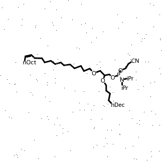 CCCCCCCC/C=C\CCCCCCCCCCCCOCC(COP(OCCC#N)N(C(C)C)C(C)C)OCCCCCCCCCCCCCC